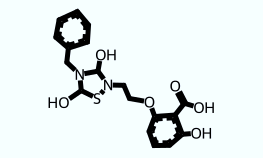 O=C(O)c1c(O)cccc1OCCN1SC(O)N(Cc2ccccc2)C1O